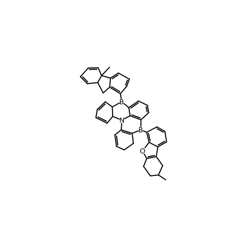 CC1CCc2oc3c(B4C5=C(C=CCC5)N5c6c4cccc6B(c4cccc6c4CC4C=CC=CC64C)C4C=CC=CC45)cccc3c2C1